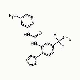 CC(F)(F)c1ccc(-c2ccsc2)c(NC(=O)Nc2cccc(C(F)(F)F)c2)c1